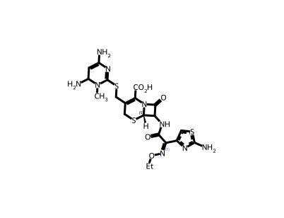 CCO/N=C(\C(=O)NC1C(=O)N2C(C(=O)O)=C(CSC3=NC(N)=CC(N)N3C)CS[C@@H]12)c1csc(N)n1